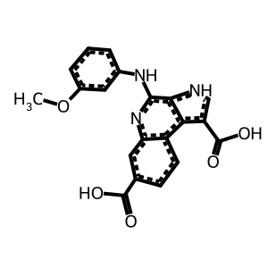 COc1cccc(Nc2nc3cc(C(=O)O)ccc3c3c(C(=O)O)c[nH]c23)c1